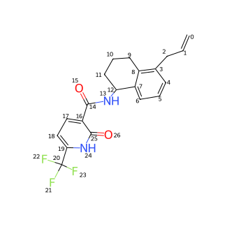 C=CCc1cccc2c1CCCC2NC(=O)c1ccc(C(F)(F)F)[nH]c1=O